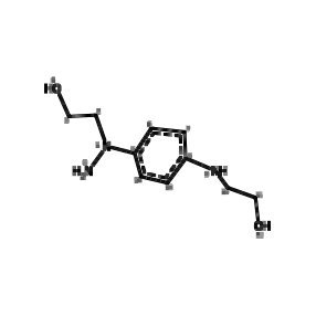 NN(CCO)c1ccc(NCCO)cc1